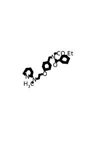 CCOC(=O)CN(Cc1ccc(OCCN(C)c2ccccn2)cc1)C(=O)c1ccccc1